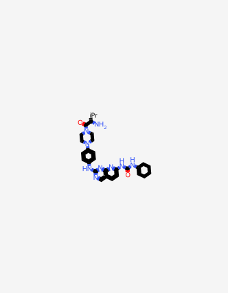 CC(C)C(N)C(=O)N1CCN(c2ccc(Nc3ncc4ccc(NC(=O)NC5=CCCCC5)nc4n3)cc2)CC1